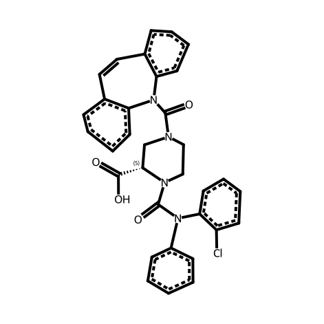 O=C(O)[C@@H]1CN(C(=O)N2c3ccccc3C=Cc3ccccc32)CCN1C(=O)N(c1ccccc1)c1ccccc1Cl